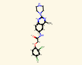 Cc1nc(N2CCNCC2)nc2ccc(NC(=O)COc3ccc(Cl)cc3Cl)cc12